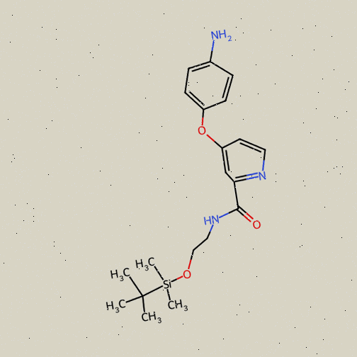 CC(C)(C)[Si](C)(C)OCCNC(=O)c1cc(Oc2ccc(N)cc2)ccn1